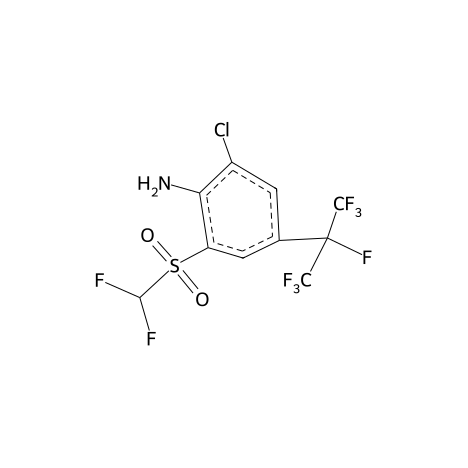 Nc1c(Cl)cc(C(F)(C(F)(F)F)C(F)(F)F)cc1S(=O)(=O)C(F)F